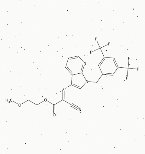 COCCOC(=O)/C(C#N)=C/c1cn(Cc2cc(C(F)(F)F)cc(C(F)(F)F)c2)c2ncccc12